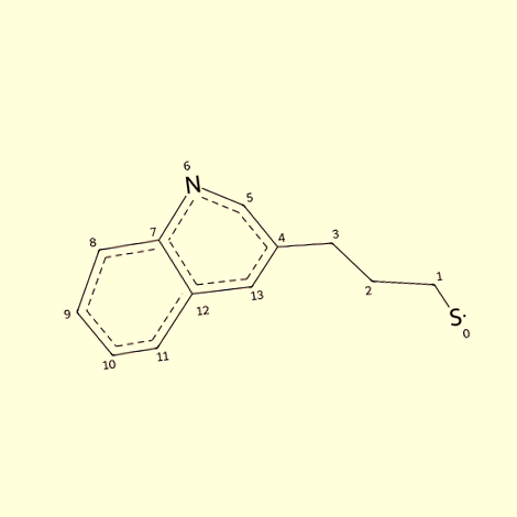 [S]CCCc1cnc2ccccc2c1